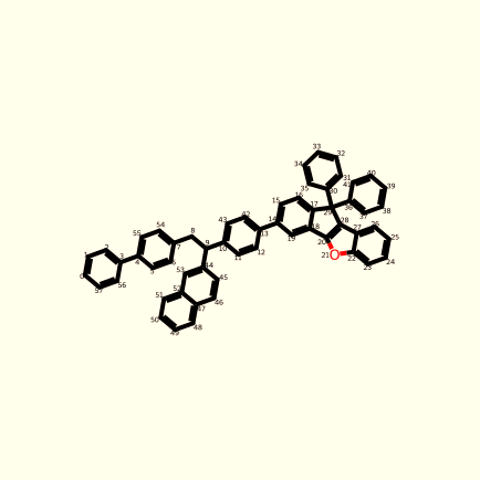 c1ccc(-c2ccc(CC(c3ccc(-c4ccc5c(c4)-c4oc6ccccc6c4C5(c4ccccc4)c4ccccc4)cc3)c3ccc4ccccc4c3)cc2)cc1